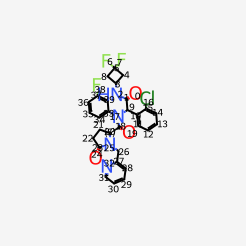 O=C(NC1CC(F)(F)C1)C(c1ccccc1Cl)N(C(=O)[C@@H]1CCC(=O)N1Cc1ccccn1)c1cccc(F)c1